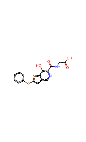 O=C(O)CNC(=O)c1ncc2cc(Sc3ccccc3)sc2c1O